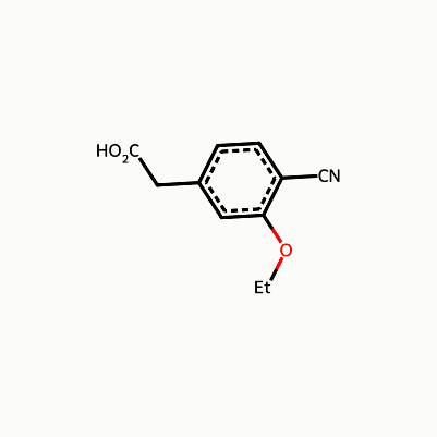 CCOc1cc(CC(=O)O)ccc1C#N